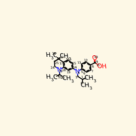 CC(C)CN(c1ccc(C(=O)O)cc1)c1ccc2c(c1)N(C(C)C)CCC2(C)C